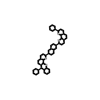 c1ccc(-c2ccc3ccc4ccc(-c5ccc6cc(-c7ccc8ccc9c(-c%10ccccc%10)c%10ccccc%10nc9c8n7)ccc6c5)nc4c3n2)cc1